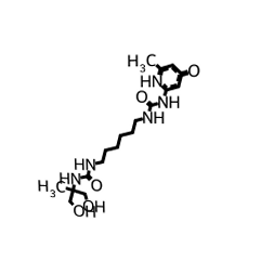 Cc1cc(=O)cc(NC(=O)NCCCCCCNC(=O)NC(C)(CO)CO)[nH]1